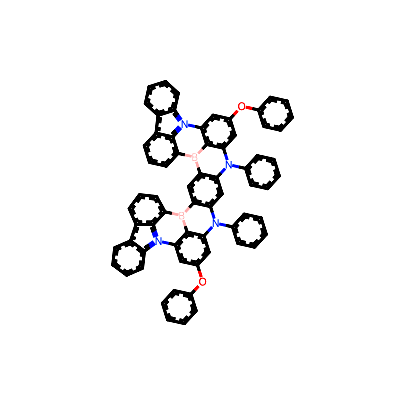 c1ccc(Oc2cc3c4c(c2)-n2c5ccccc5c5cccc(c52)B4c2cc4c(cc2N3c2ccccc2)N(c2ccccc2)c2cc(Oc3ccccc3)cc3c2B4c2cccc4c5ccccc5n-3c24)cc1